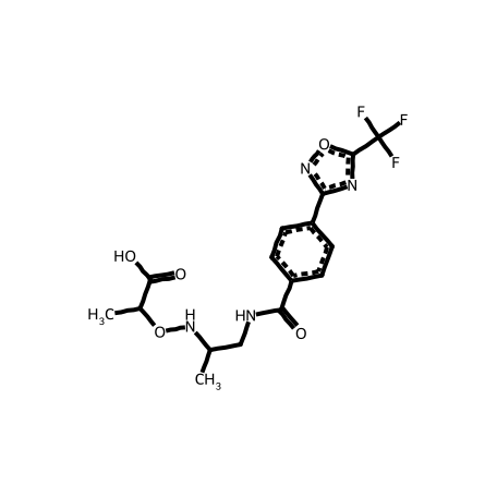 CC(CNC(=O)c1ccc(-c2noc(C(F)(F)F)n2)cc1)NOC(C)C(=O)O